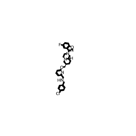 Fc1ccc2onc(N3CCN4C[C@H](COc5cccc(CNCc6ccc(Cl)cc6)n5)CC[C@H]4C3)c2c1